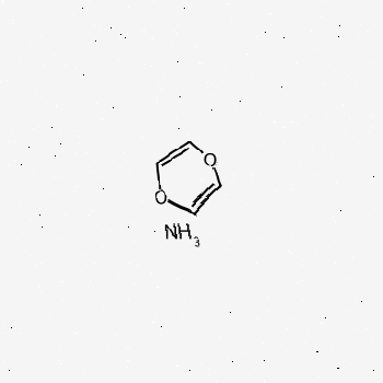 C1=COC=CO1.N